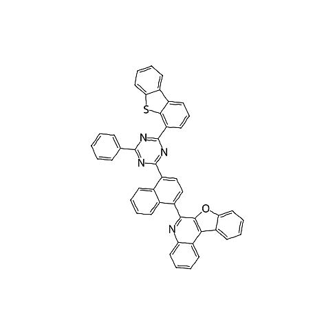 c1ccc(-c2nc(-c3ccc(-c4nc5ccccc5c5c4oc4ccccc45)c4ccccc34)nc(-c3cccc4c3sc3ccccc34)n2)cc1